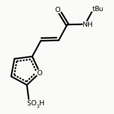 CC(C)(C)NC(=O)C=Cc1ccc(S(=O)(=O)O)o1